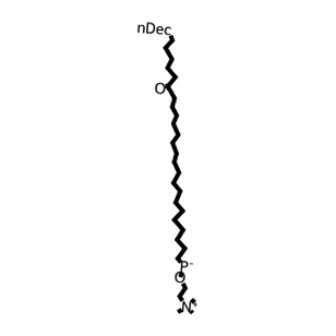 CCCCCCCCCCCCCCCC(=O)CCCCCCCCCCCCCCCCCC[P-]OCC[N+](C)(C)C